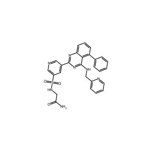 NC(=O)CNS(=O)(=O)c1cncc(-c2nc(NCc3ccccn3)c3c(-c4ccccc4)cccc3n2)c1